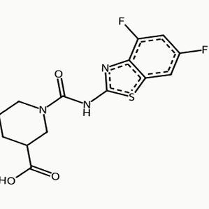 O=C(O)C1CCCN(C(=O)Nc2nc3c(F)cc(F)cc3s2)C1